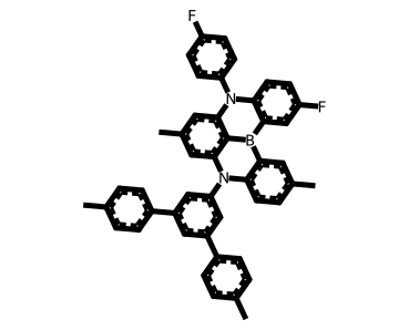 Cc1ccc(-c2cc(-c3ccc(C)cc3)cc(N3c4ccc(C)cc4B4c5cc(F)ccc5N(c5ccc(F)cc5)c5cc(C)cc3c54)c2)cc1